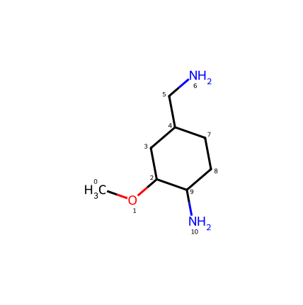 COC1CC(CN)CCC1N